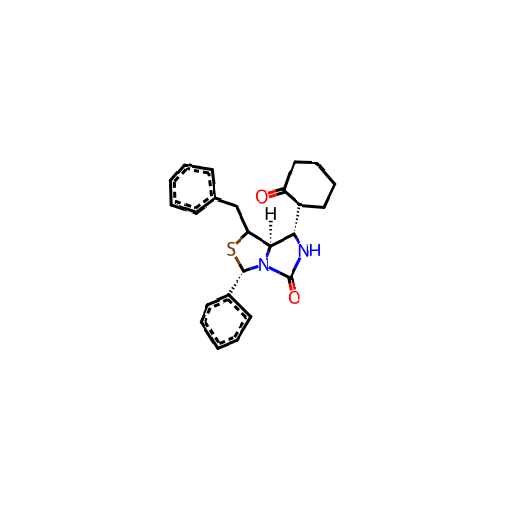 O=C1CCCCC1[C@@H]1NC(=O)N2[C@H](c3ccccc3)SC(Cc3ccccc3)[C@@H]12